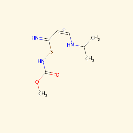 COC(=O)NSC(=N)/C=C\NC(C)C